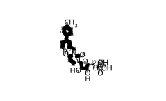 Cc1ccc(-c2ccnc(Cn3c(=O)ccn([C@@H]4O[C@H](COP(=O)(O)O)C(O)C4O)c3=O)c2)cc1